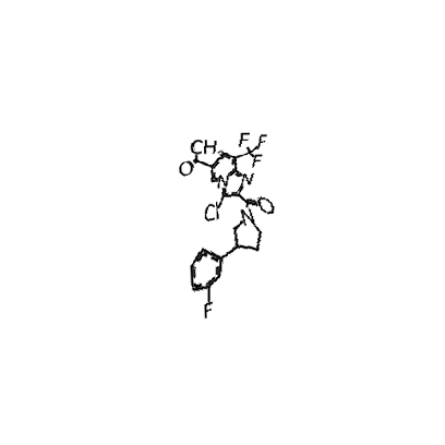 CC(=O)c1cc(C(F)(F)F)c2nc(C(=O)N3CCC(c4cccc(F)c4)C3)c(Cl)n2c1